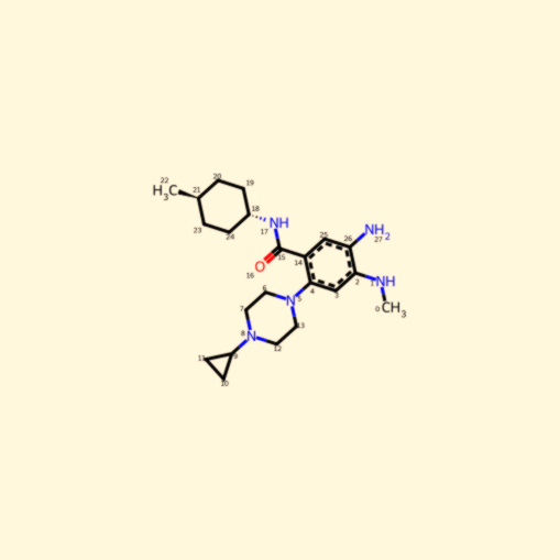 CNc1cc(N2CCN(C3CC3)CC2)c(C(=O)N[C@H]2CC[C@H](C)CC2)cc1N